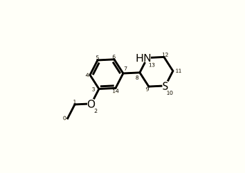 CCOc1cccc(C2CSCCN2)c1